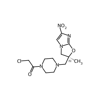 C[C@]1(CN2CCN(C(=O)CCl)CC2)Cn2cc([N+](=O)[O-])nc2O1